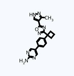 Cc1n[nH]cc1-c1nc(C2(c3ccc(-c4cnc(N)nc4)cc3)CCC2)no1